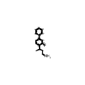 CC(CCN)c1ccc(-c2ccccc2)cc1F